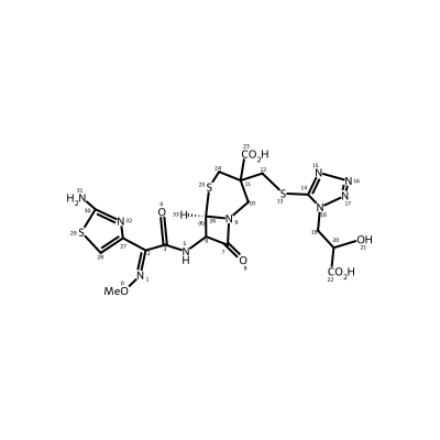 CON=C(C(=O)NC1C(=O)N2CC(CSc3nnnn3CC(O)C(=O)O)(C(=O)O)CS[C@H]12)c1csc(N)n1